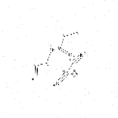 C=CCOC(=O)CC.N#CC#N.S